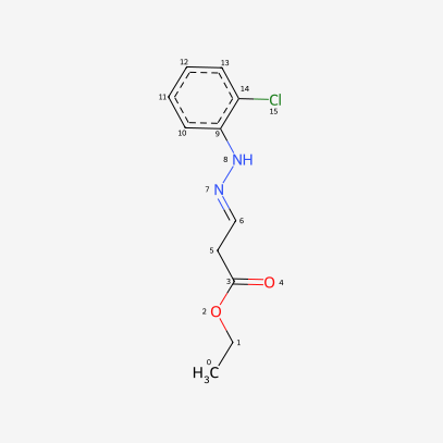 CCOC(=O)CC=NNc1ccccc1Cl